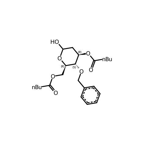 CCCCC(=O)OC[C@H]1OC(O)C[C@@H](OC(=O)CCCC)[C@@H]1OCc1ccccc1